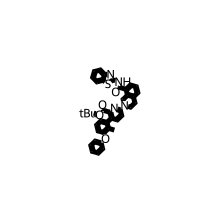 Cc1c(Oc2ccccc2)cccc1-c1ccc(N2CCc3cccc(C(=O)Nc4nc5ccccc5s4)c3C2)nc1C(=O)OC(C)(C)C